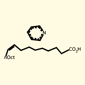 CCCCCCCC/C=C\CCCCCCCC(=O)O.c1ccncc1